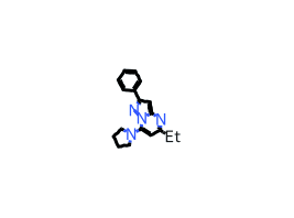 CCc1cc(N2CCCC2)n2nc(-c3ccccc3)cc2n1